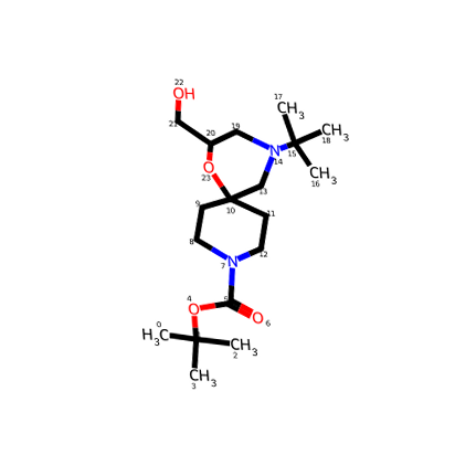 CC(C)(C)OC(=O)N1CCC2(CC1)CN(C(C)(C)C)CC(CO)O2